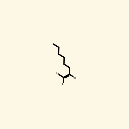 [2H]C([2H])=C([2H])CCCCCC